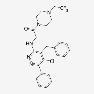 O=C(CNc1nnc(-c2ccccc2)c(Cl)c1Cc1ccccc1)N1CCN(CC(F)(F)F)CC1